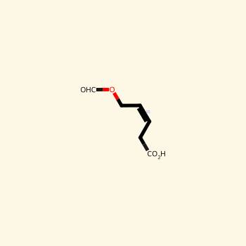 O=COC/C=C\CC(=O)O